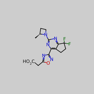 C[C@H]1CCN1c1nc(-c2noc(CC(=O)O)n2)c2c(n1)C(F)(F)CC2